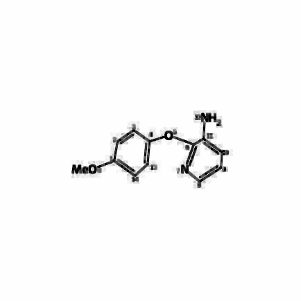 COc1ccc(Oc2ncccc2N)cc1